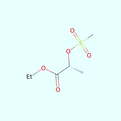 CCOC(=O)[C@@H](C)OS(C)(=O)=O